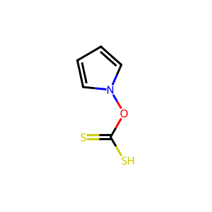 S=C(S)On1cccc1